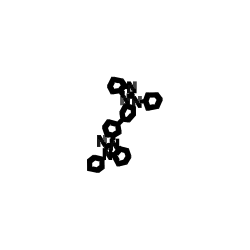 c1ccc(-n2c3ccccc3n3c4cc(-c5ccc6c(c5)n5c7ccccc7nc5n6-c5ccccc5)ccc4nc23)cc1